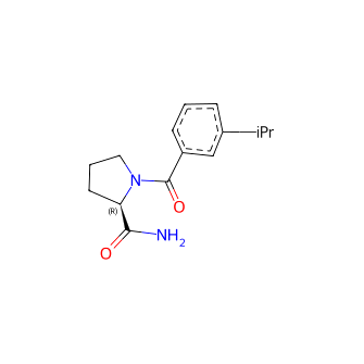 CC(C)c1cccc(C(=O)N2CCC[C@@H]2C(N)=O)c1